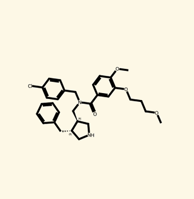 COCCCOc1cc(C(=O)N(Cc2ccc(Cl)cc2)C[C@H]2CNC[C@@H]2Cc2ccccc2)ccc1OC